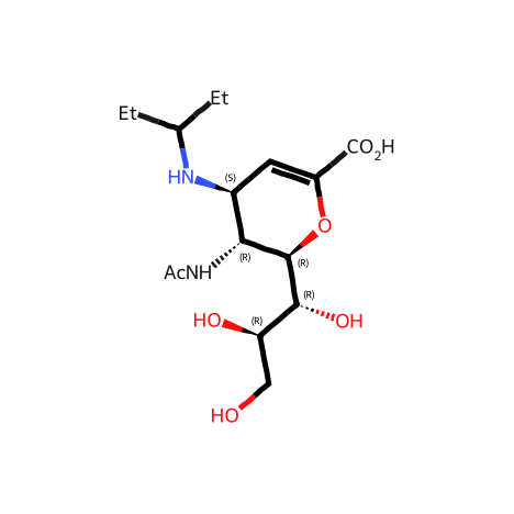 CCC(CC)N[C@H]1C=C(C(=O)O)O[C@@H]([C@H](O)[C@H](O)CO)[C@@H]1NC(C)=O